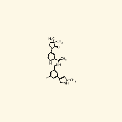 C=C(NCc1cc(F)cc(C2=CN(C)NC2)c1)C1C=C(N2CCC(C)(C)C2=O)C=CN1